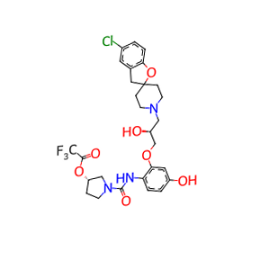 O=C(Nc1ccc(O)cc1OC[C@@H](O)CN1CCC2(CC1)Cc1cc(Cl)ccc1O2)N1CC[C@H](OC(=O)C(F)(F)F)C1